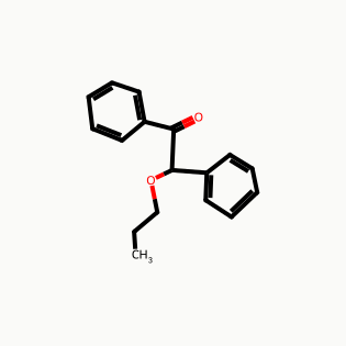 CCCOC(C(=O)c1ccccc1)c1ccccc1